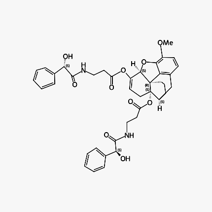 COc1ccc2c3c1O[C@@H]1C(OC(=O)CCNC(=O)[C@@H](O)c4ccccc4)=CC[C@]4(OC(=O)CCNC(=O)[C@@H](O)c5ccccc5)[C@@H](CCC[C@@]314)C2